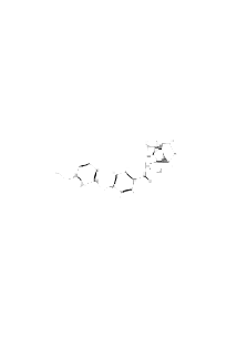 COc1cccc(Sc2ccc(C(=O)N[C@@H]3C4CCN(CC4)[C@H]3C)cc2)n1